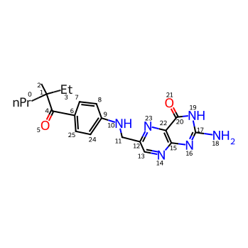 CCCC(C)(CC)C(=O)c1ccc(NCc2cnc3nc(N)[nH]c(=O)c3n2)cc1